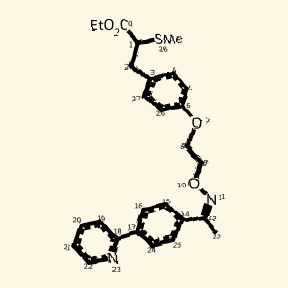 CCOC(=O)C(Cc1ccc(OCCO/N=C(/C)c2ccc(-c3ccccn3)cc2)cc1)SC